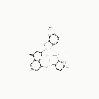 Cc1cc([C@@H](C)Nc2ccc(Cl)nc2C(O)O)c2oc(N3Cc4ccc5c(c4C3)OCO5)cc(=O)c2c1